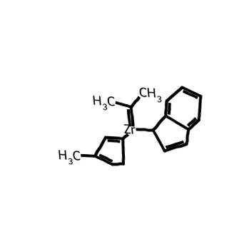 CC1=CC[C]([Zr](=[C](C)C)[CH]2C=Cc3ccccc32)=C1